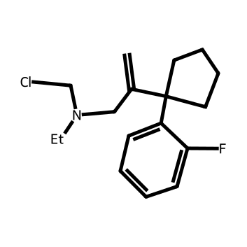 C=C(CN(CC)CCl)C1(c2ccccc2F)CCCC1